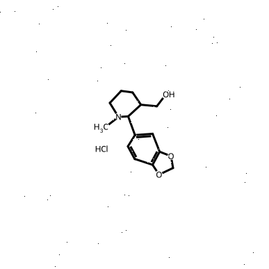 CN1CCCC(CO)C1c1ccc2c(c1)OCO2.Cl